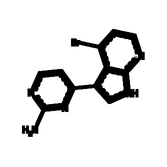 Nc1nccc(-c2c[nH]c3nccc(Br)c23)n1